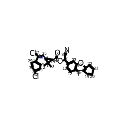 CC1(C)[C@H](C(=O)OC(C#N)c2ccc(F)c(Oc3ccccc3)c2)[C@@H]1/C=C(/Cl)c1ccc(Cl)cc1